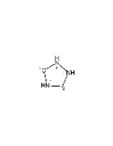 [CH]1NNON1